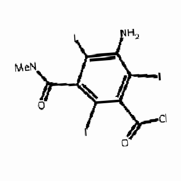 CNC(=O)c1c(I)c(N)c(I)c(C(=O)Cl)c1I